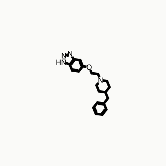 c1ccc(CC2CCN(CCOc3ccc4[nH]nnc4c3)CC2)cc1